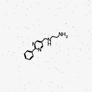 NCCNCc1cnc(-c2ccccc2)nc1